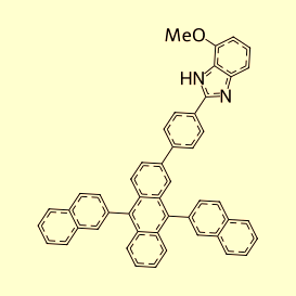 COc1cccc2nc(-c3ccc(-c4ccc5c(-c6ccc7ccccc7c6)c6ccccc6c(-c6ccc7ccccc7c6)c5c4)cc3)[nH]c12